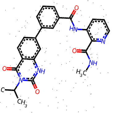 CNC(=O)c1ncccc1NC(=O)c1cccc(-c2ccc3c(=O)n(C(C)C)c(=O)[nH]c3c2)c1